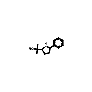 CC(C)(O)C1CCC(c2ccccc2)N1